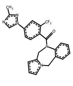 Cc1ncn(-c2ccc(C(=O)N3Cc4cccn4Cc4ccccc43)c(C(F)(F)F)c2)n1